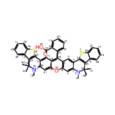 CN1c2cc3c(cc2-c2sc4ccccc4c2C1(C)C)C(c1ccccc1C(=O)O)=c1cc2c(cc1O3)=[N+](C)C(C)(C)c1c-2sc2ccccc12